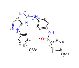 COc1ccc(C(=O)Nc2ccc(Nc3ncc4cnn(-c5ccc(OC)cc5)c4n3)cc2)cc1